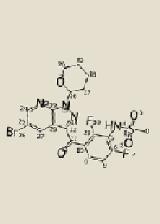 CS(=O)(=O)Nc1c(F)ccc(C(=O)c2nn(C3CCCCO3)c3ncc(Br)cc23)c1F